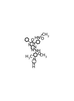 C=CC(=O)Nc1cccc(-n2c(=O)c(-c3ccccc3)nc3cnc(Nc4cc(C)c(N5CCNCC5)cc4OC)nc32)c1